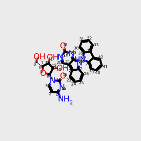 Nc1ccn([C@@H]2O[C@H](CO)[C@@H](O)[C@H]2O)c(=O)n1.O=C1N=CC2=c3ccccc3=NC2=N1.c1ccc2c(c1)[nH]c1ccccc12